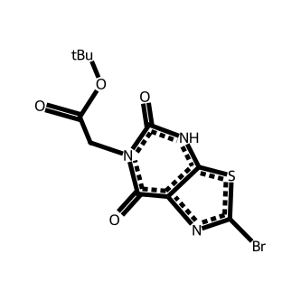 CC(C)(C)OC(=O)Cn1c(=O)[nH]c2sc(Br)nc2c1=O